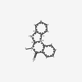 Cn1c(=O)c2ccccc2n2c3ccccc3nc12